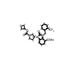 COc1cccc2c1n(Cc1ccccc1C(F)(F)F)c(=O)n2[C@@H]1CCN(C(=O)OC2COC2)C1